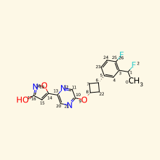 CC(F)c1cc([C@H]2C[C@@H](Oc3cnc(-c4cc(O)no4)cn3)C2)ccc1F